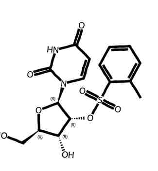 Cc1ccccc1S(=O)(=O)O[C@@H]1[C@H](O)[C@@H](CO)O[C@H]1n1ccc(=O)[nH]c1=O